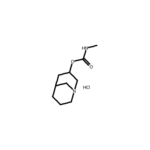 CNC(=O)OC1CC2CCCN(C2)C1.Cl